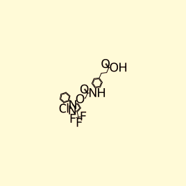 O=C(O)CCc1ccc(NC(=O)COc2cc(C(F)(F)F)nn2-c2ccccc2Cl)cc1